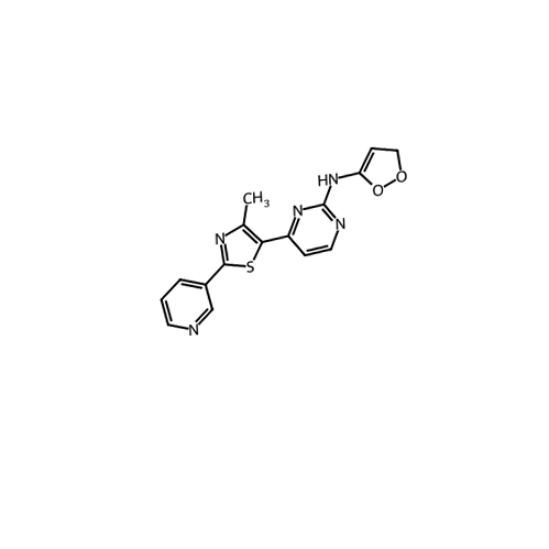 Cc1nc(-c2cccnc2)sc1-c1ccnc(NC2=CCOO2)n1